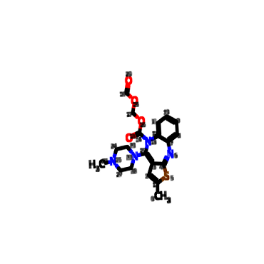 Cc1cc2c(s1)=Nc1ccccc1N(C(=O)OCOC=O)C=2N1CCN(C)CC1